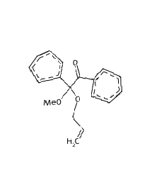 C=CCOC(OC)(C(=O)c1ccccc1)c1ccccc1